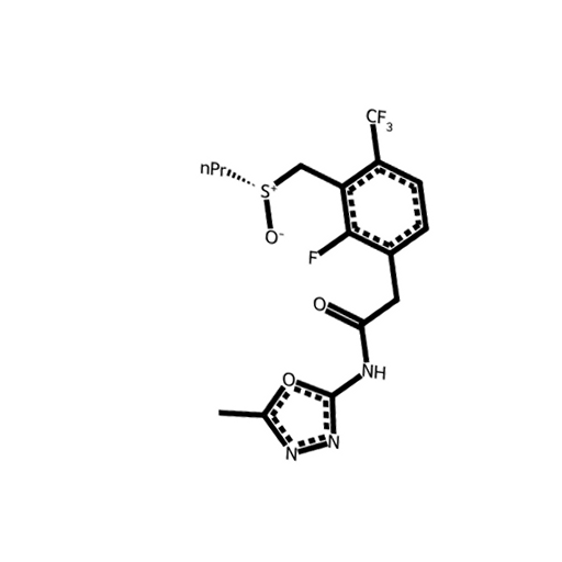 CCC[S@@+]([O-])Cc1c(C(F)(F)F)ccc(CC(=O)Nc2nnc(C)o2)c1F